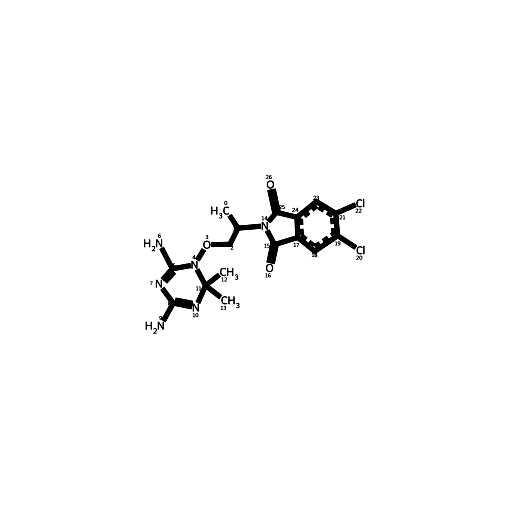 CC(CON1C(N)=NC(N)=NC1(C)C)N1C(=O)c2cc(Cl)c(Cl)cc2C1=O